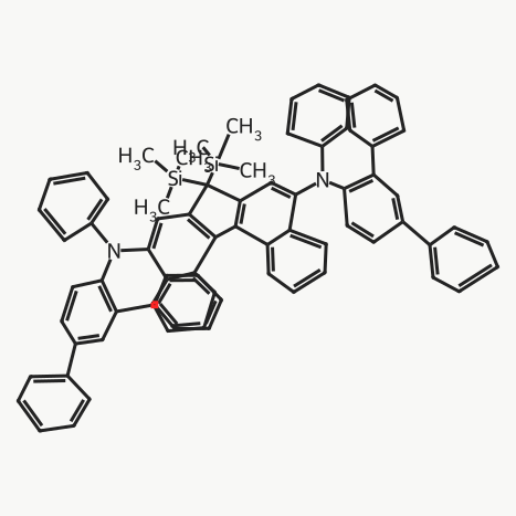 C[Si](C)(C)C1([Si](C)(C)C)c2cc(N(c3ccccc3)c3ccc(-c4ccccc4)cc3-c3ccccc3)c3ccccc3c2-c2c1cc(N(c1ccccc1)c1ccc(-c3ccccc3)cc1-c1ccccc1)c1ccccc21